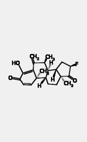 C=C1C2=C(O)C(=O)C=C[C@]2(C)[C@H]2CC[C@]3(C)C(=O)[C@H](F)C[C@H]3[C@@H]2[C@@H]1C